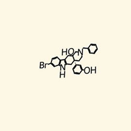 Oc1cccc([C@@]23CCN(Cc4ccccc4)C[C@@]2(O)Cc2c([nH]c4cc(Br)ccc24)C3)c1